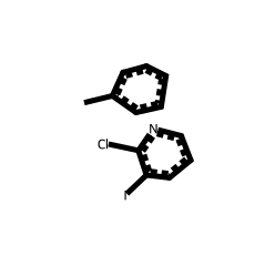 Cc1ccccc1.Clc1ncccc1I